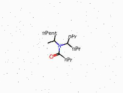 CCCCCC(C)N(C(=O)CCC)C(CCC)CCC